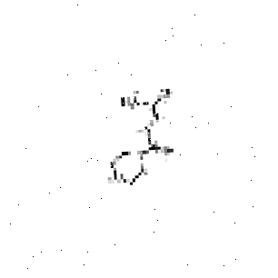 C/C(C#N)=N\OC(=N)N1CCOCC1